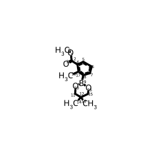 COC(=O)c1cccc(B2OCC(C)(C)CO2)c1C